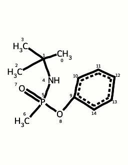 CC(C)(C)NP(C)(=O)Oc1ccccc1